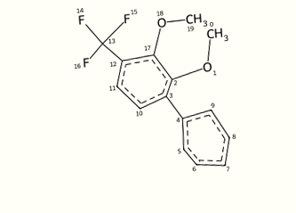 COc1c(-c2ccccc2)ccc(C(F)(F)F)c1OC